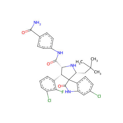 CC(C)(C)C[C@H]1N[C@@H](C(=O)Nc2ccc(C(N)=O)cc2)[C@@H](c2cccc(Cl)c2F)C12C(=O)Nc1cc(Cl)ccc12